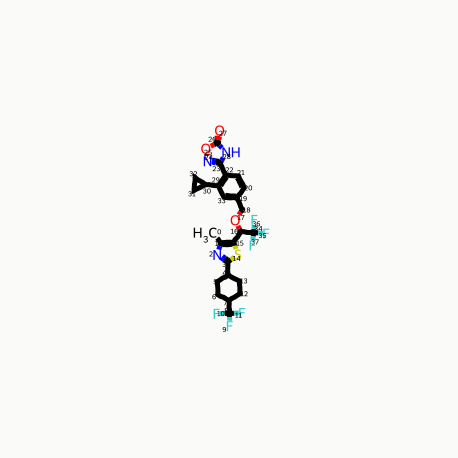 Cc1nc(C2CCC(C(F)(F)F)CC2)sc1C(OCc1ccc(-c2noc(=O)[nH]2)c(C2CC2)c1)C(F)(F)F